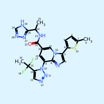 Cc1ccc(-c2cnc3c(-n4nncc4C(C)(F)F)cc(C(=O)NC(C)c4nnc[nH]4)cn23)s1